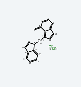 C=c1cccc2c1=[C]([Zr+2][CH]1C=Cc3ccccc31)C=C2.[Cl-].[Cl-]